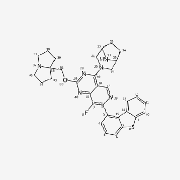 Fc1c(-c2cccc3sc4ccccc4c23)ncc2c(N3CC4CCC(C3)N4)nc(OCC34CCCN3CCC4)nc12